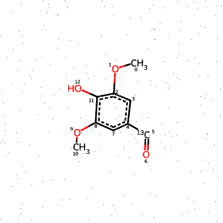 COc1cc([13CH]=O)cc(OC)c1O